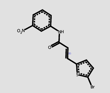 O=C(/C=C/c1ccc(Br)s1)Nc1cccc([N+](=O)[O-])c1